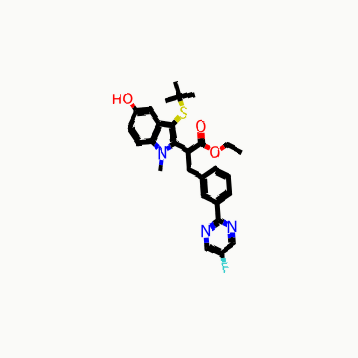 CCOC(=O)C(Cc1cccc(-c2ncc(F)cn2)c1)c1c(SC(C)(C)C)c2cc(O)ccc2n1C